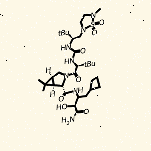 CN1CCN(C[C@@H](NC(=O)N[C@H](C(=O)N2C[C@H]3[C@@H]([C@H]2C(=O)NC(CC2CCC2)C(O)C(N)=O)C3(C)C)C(C)(C)C)C(C)(C)C)S1(=O)=O